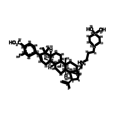 C=C(C)[C@@H]1CC[C@]2(CNCCCN3CCS(O)(O)CC3)CC[C@]3(C)[C@H](CC[C@@H]4[C@@]5(C)CC=C(c6ccc(C(=O)O)c(F)c6)C(C)(C)[C@@H]5CC[C@]43C)[C@@H]12